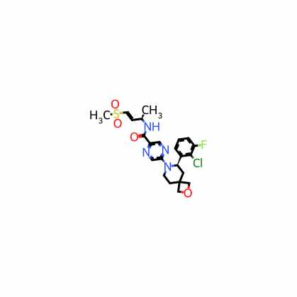 C[C@H](/C=C/S(C)(=O)=O)NC(=O)c1cnc(N2CCC3(COC3)C[C@@H]2c2cccc(F)c2Cl)cn1